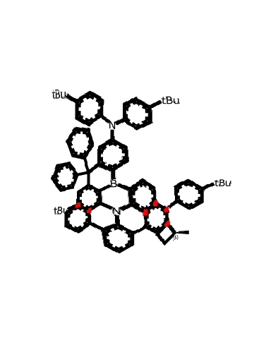 C[C@H]1CCC1N(c1ccc(C(C)(C)C)cc1)c1ccc2c(c1)N(c1c(-c3ccccc3)cccc1-c1ccccc1)c1cc(C(C)(C)C)cc3c1B2c1ccc(N(c2ccc(C(C)(C)C)cc2)c2ccc(C(C)(C)C)cc2)cc1C3(c1ccccc1)c1ccccc1